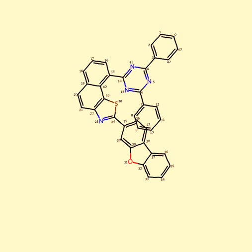 c1ccc(-c2nc(-c3ccccc3)nc(-c3cccc4ccc5nc(-c6ccc7c(c6)oc6ccccc67)sc5c34)n2)cc1